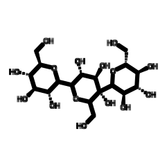 OC[C]1OC(C2O[C@H](CO)[C@@H](O)[C@H](O)[C@H]2O)[C@H](O)[C@@H](O)[C@@]1(O)C1O[C@H](CO)[C@@H](O)[C@H](O)[C@H]1O